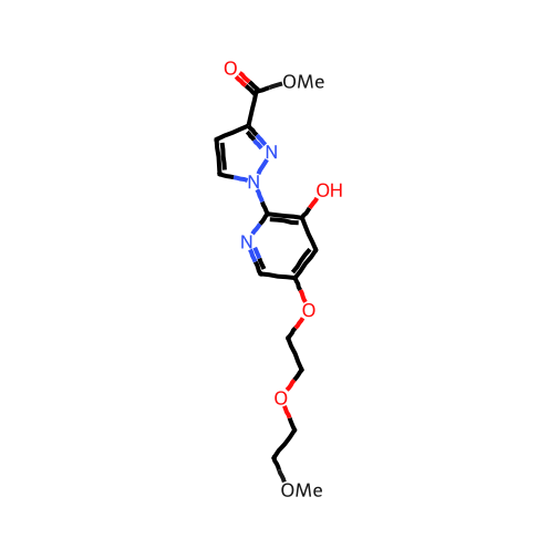 COCCOCCOc1cnc(-n2ccc(C(=O)OC)n2)c(O)c1